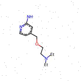 CCN(CC)CCOCc1ccnc([NH])c1